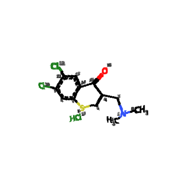 CN(C)CC1CSc2cc(Cl)c(Cl)cc2C1=O.Cl